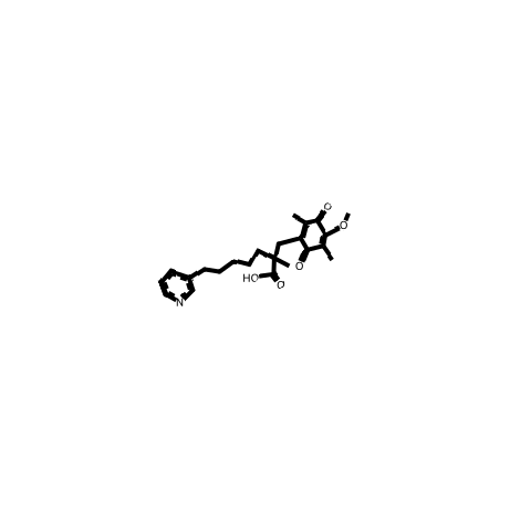 COC1=C(C)C(=O)C(CC(C)(CCCCCc2cccnc2)C(=O)O)=C(C)C1=O